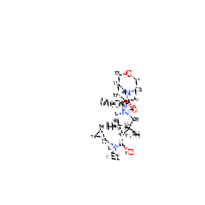 CCN(C(=O)[C@@H]1[C@@H]2CN(C3CC4COCC(C3)N4C(=O)OC)C[C@@H]21)C1CC1